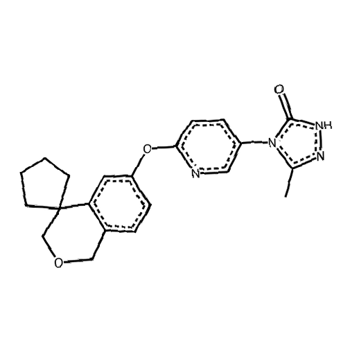 Cc1n[nH]c(=O)n1-c1ccc(Oc2ccc3c(c2)C2(CCCC2)COC3)nc1